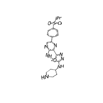 CC(C)S(=O)(=O)c1ccc(-c2cnc(N)c(-c3nnc(NC4CCNCC4)o3)n2)cc1